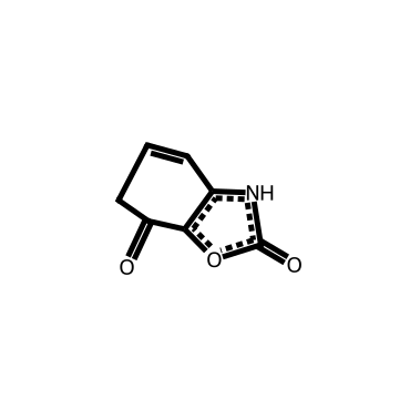 O=C1CC=Cc2[nH]c(=O)oc21